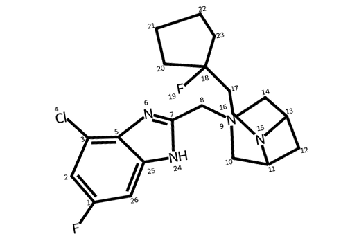 Fc1cc(Cl)c2nc(CN3CC4CC(C3)N4CCC3(F)CCCC3)[nH]c2c1